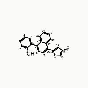 Oc1ccccc1-c1ccc(-c2cc(F)cs2)c2ccccc12